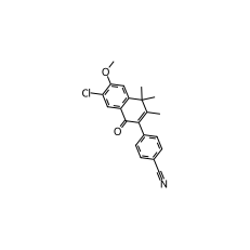 COc1cc2c(cc1Cl)C(=O)C(c1ccc(C#N)cc1)=C(C)C2(C)C